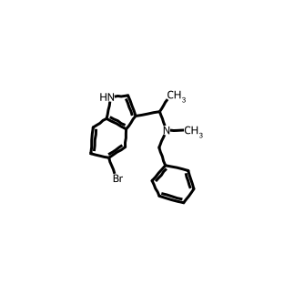 CC(c1c[nH]c2ccc(Br)cc12)N(C)Cc1ccccc1